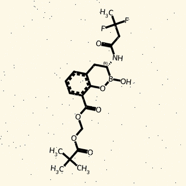 CC(F)(F)CC(=O)N[C@H]1Cc2cccc(C(=O)OCOC(=O)C(C)(C)C)c2OB1O